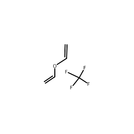 C=COC=C.FC(F)(F)F